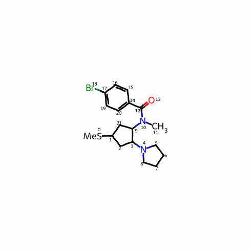 CSC1CC(N2CCCC2)C(N(C)C(=O)c2ccc(Br)cc2)C1